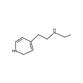 CCNCCC1=CCNC=C1